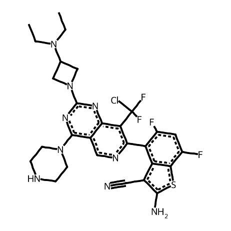 CCN(CC)C1CN(c2nc(N3CCNCC3)c3cnc(-c4c(F)cc(F)c5sc(N)c(C#N)c45)c(C(F)(F)Cl)c3n2)C1